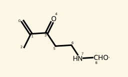 C=C(C)C(=O)CCN[C]=O